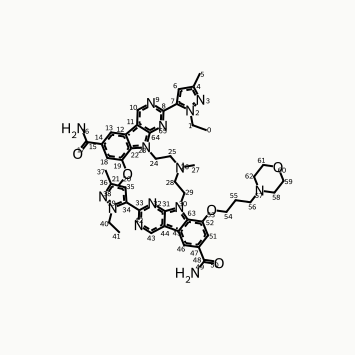 CCn1nc(C)cc1-c1ncc2c3cc(C(N)=O)cc(OC)c3n(CCN(C)CCn3c4nc(-c5cc(C)nn5CC)ncc4c4cc(C(N)=O)cc(OCCCN5CCOCC5)c43)c2n1